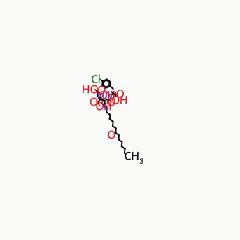 CCCCCCCC(=O)CCCCCC/C=C/[C@H](C(=O)N[C@@H](Cc1ccc(Cl)cc1)C(=O)O)[C@@](O)(CC(=O)O)C(=O)O